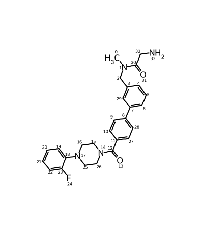 CN(Cc1cccc(-c2ccc(C(=O)N3CCN(c4ccccc4F)CC3)cc2)c1)C(=O)CN